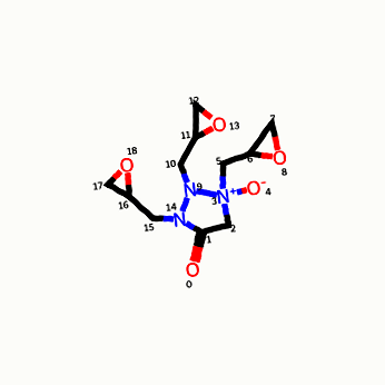 O=C1C[N+]([O-])(CC2CO2)N(CC2CO2)N1CC1CO1